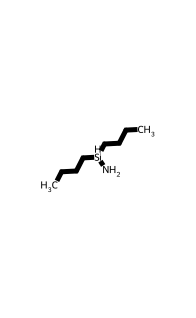 CCCC[SiH](N)CCCC